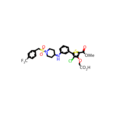 COC(=O)c1sc(-c2cccc(NC3CCN(S(=O)(=O)Cc4ccc(C(F)(F)F)cc4)CC3)c2)c(Cl)c1OCC(=O)O